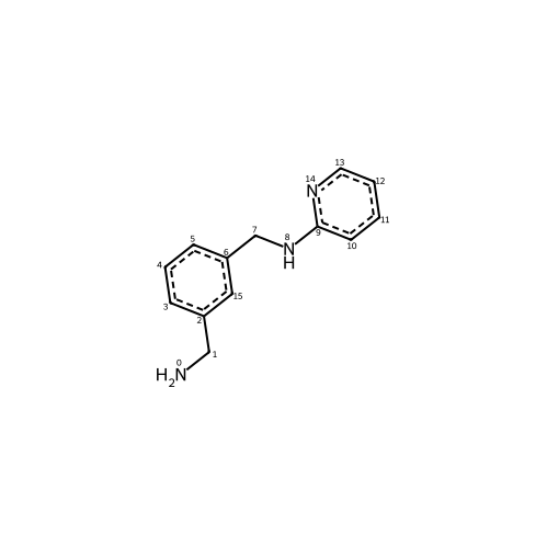 NCc1cccc(CNc2ccccn2)c1